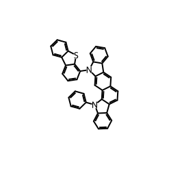 c1ccc(-n2c3ccccc3c3ccc4cc5c6ccccc6n(-c6cccc7c6sc6ccccc67)c5cc4c32)cc1